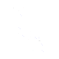 Cc1cn2cc(NC(=O)c3ccc(C4=CCN(C(=O)OC(C)(C)C)CC4)c4nccnc34)cc(F)c2n1